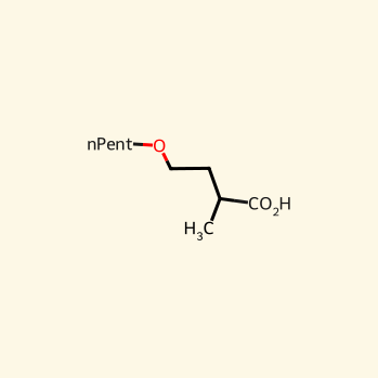 CCCCCOCCC(C)C(=O)O